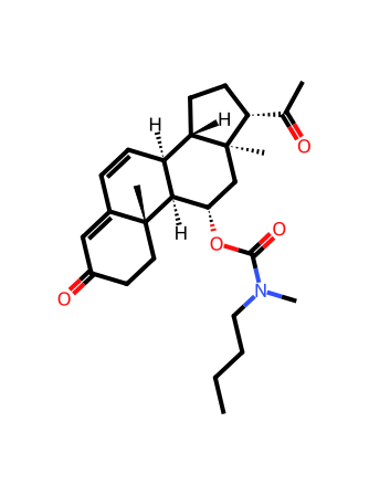 CCCCN(C)C(=O)O[C@H]1C[C@]2(C)[C@@H](C(C)=O)CC[C@H]2[C@@H]2C=CC3=CC(=O)CC[C@@]3(C)[C@@H]21